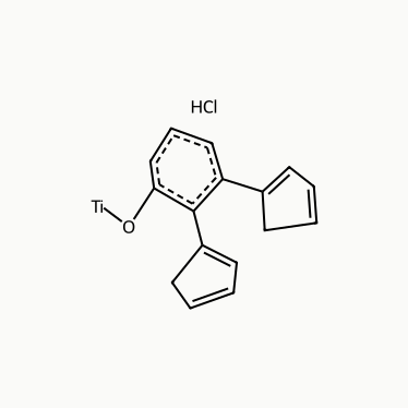 Cl.[Ti][O]c1cccc(C2=CC=CC2)c1C1=CC=CC1